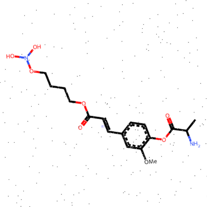 COc1cc(/C=C/C(=O)OCCCCON(O)O)ccc1OC(=O)C(C)N